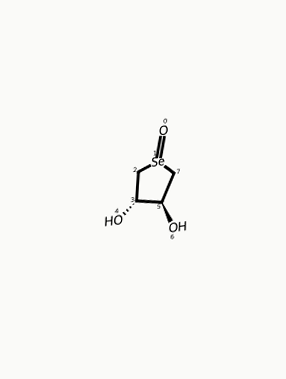 O=[Se]1C[C@@H](O)[C@H](O)C1